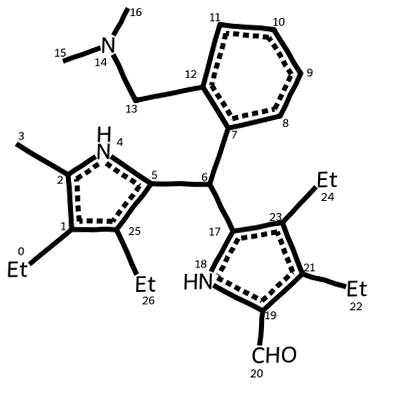 CCc1c(C)[nH]c(C(c2ccccc2CN(C)C)c2[nH]c(C=O)c(CC)c2CC)c1CC